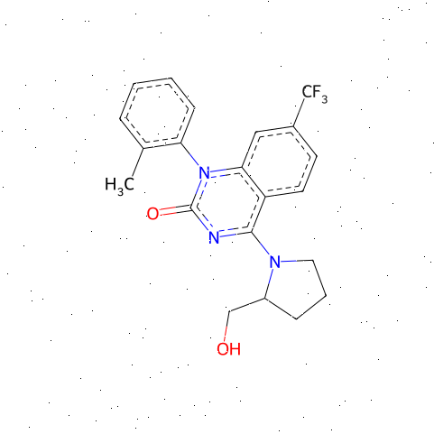 Cc1ccccc1-n1c(=O)nc(N2CCCC2CO)c2ccc(C(F)(F)F)cc21